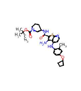 Cc1cc(OC2CCC2)ccc1Nc1ccnc2sc(C(=O)NC3CCCN(C(=O)OC(C)(C)C)C3)c(N)c12